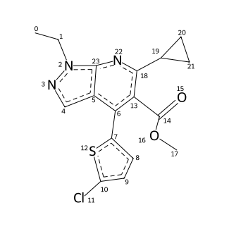 CCn1ncc2c(-c3ccc(Cl)s3)c(C(=O)OC)c(C3CC3)nc21